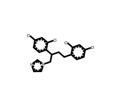 Clc1ccc(CCC(Cn2ccnc2)c2ccc(Cl)cc2Cl)c(Cl)c1